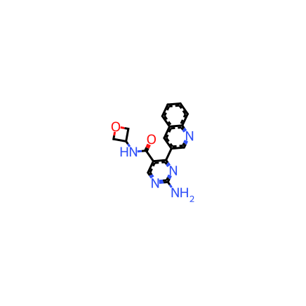 Nc1ncc(C(=O)NC2COC2)c(-c2cnc3ccccc3c2)n1